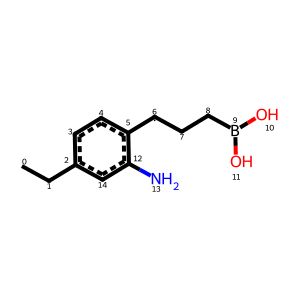 CCc1ccc([CH]CCB(O)O)c(N)c1